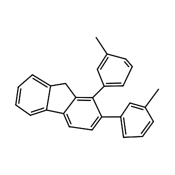 Cc1cccc(-c2ccc3c(c2-c2cccc(C)c2)Cc2ccccc2-3)c1